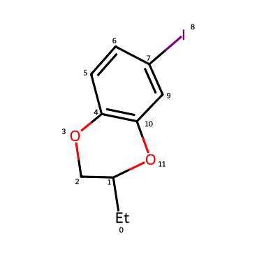 CCC1COc2ccc(I)cc2O1